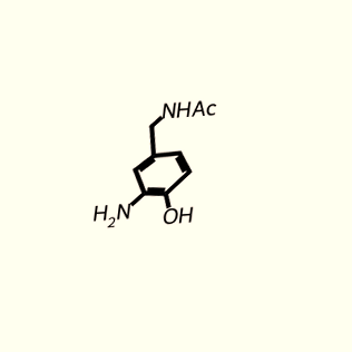 CC(=O)NCc1ccc(O)c(N)c1